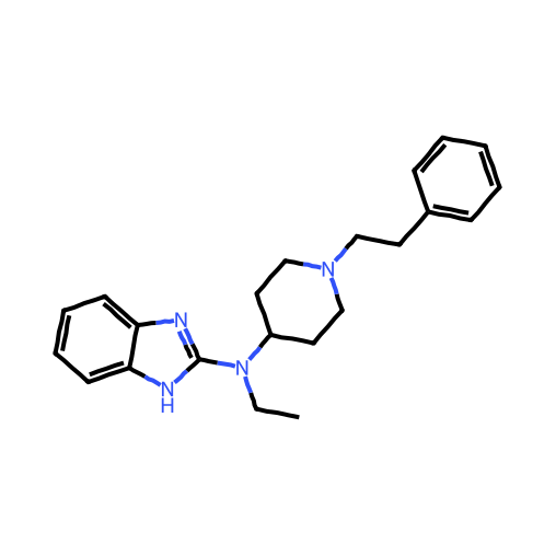 CCN(c1nc2ccccc2[nH]1)C1CCN(CCc2ccccc2)CC1